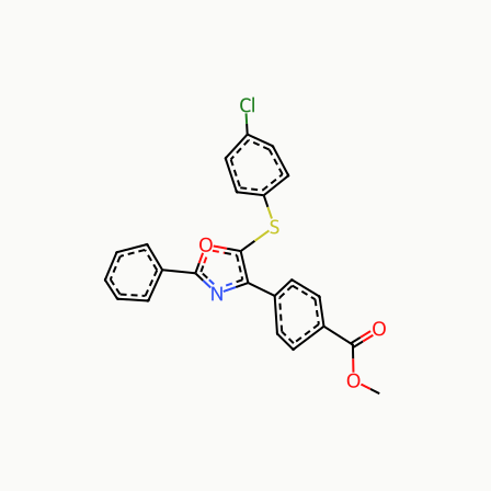 COC(=O)c1ccc(-c2nc(-c3ccccc3)oc2Sc2ccc(Cl)cc2)cc1